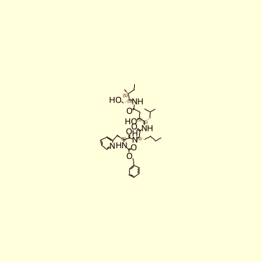 CCCC[C@H](NC(=O)[C@H](Cc1ccccn1)NC(=O)OCc1ccccc1)C(=O)N[C@@H](CC(C)C)[C@@H](O)CC(=O)N[C@H](CO)[C@@H](C)CC